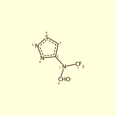 O=[C]N(c1csnn1)C(F)(F)F